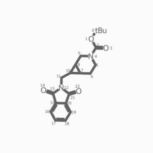 CC(C)(C)OC(=O)N1CCC2C(C1)C2CN1C(=O)c2ccccc2C1=O